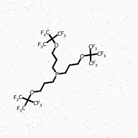 FC(F)(F)C(OCCCP(CCCOC(C(F)(F)F)(C(F)(F)F)C(F)(F)F)CCCOC(C(F)(F)F)(C(F)(F)F)C(F)(F)F)(C(F)(F)F)C(F)(F)F